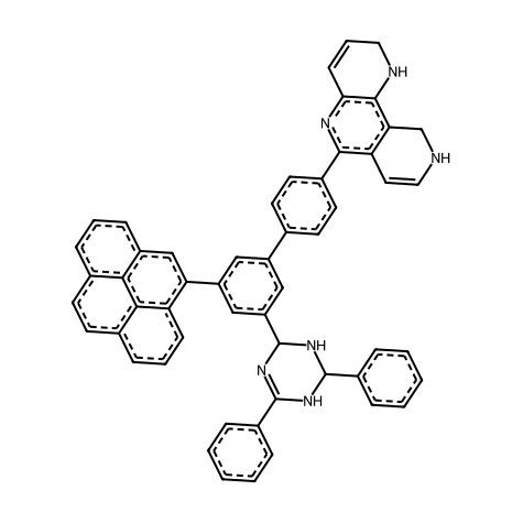 C1=Cc2nc(-c3ccc(-c4cc(-c5cc6cccc7ccc8cccc5c8c76)cc(C5N=C(c6ccccc6)NC(c6ccccc6)N5)c4)cc3)c3c(c2NC1)CNC=C3